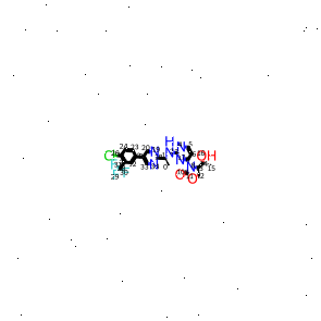 C[C@H](Nc1nccc(N2C(=O)OC[C@@H]2[C@@H](C)O)n1)c1ncc(-c2ccc(Cl)c(C(F)(F)F)c2)cn1